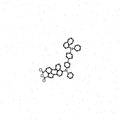 O=C1OC(=O)c2ccc3c4ccc(N(c5ccccc5)c5ccc(-c6ccc(N(c7ccccc7)c7cccc8ccccc78)cc6)cc5)c5cccc(c6ccc1c2c63)c54